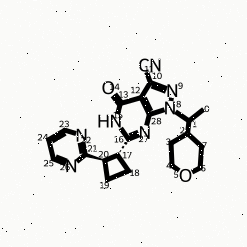 CC(C1CCOCC1)n1nc(C#N)c2c(=O)[nH]c([C@@H]3CC[C@H]3c3ncccn3)nc21